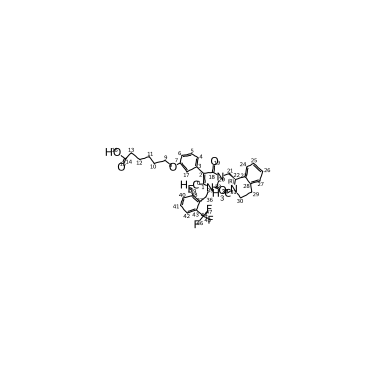 Cc1c(-c2cccc(OCCCCCC(=O)O)c2)c(=O)n(C[C@H]2c3ccccc3CCN2C)c(=O)n1Cc1c(F)cccc1C(F)(F)F